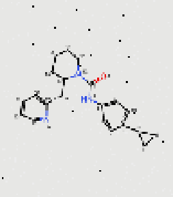 O=C(Nc1ccc(C2CC2)cc1)N1CCCCC1Cc1ccccn1